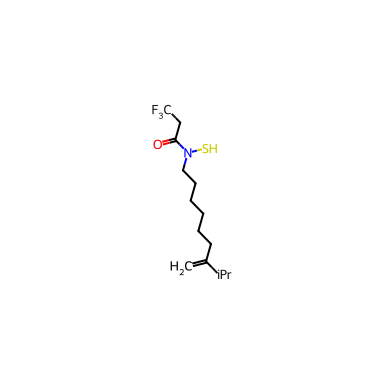 C=C(CCCCCCN(S)C(=O)CC(F)(F)F)C(C)C